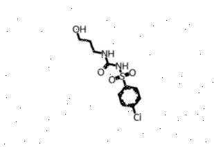 O=C(NCCCO)NS(=O)(=O)c1ccc(Cl)cc1